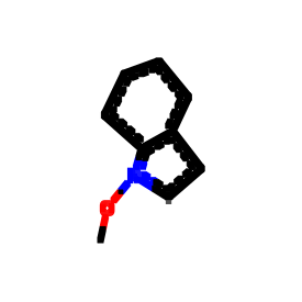 COn1[c]cc2ccccc21